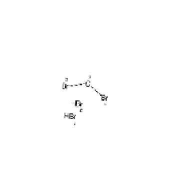 Br.Br.BrOBr